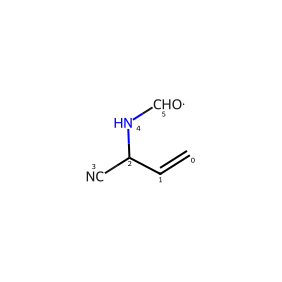 C=CC(C#N)N[C]=O